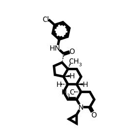 C[C@]12CC[C@H]3[C@@H](CC=C4N(C5CC5)C(=O)CC[C@@]43C)[C@@H]1CC[C@@H]2C(=O)Nc1cccc(Cl)c1